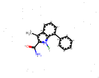 Cc1c(C(N)=O)n(F)c2c(-c3ccccc3)cccc12